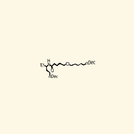 [CH2]CC(CCCCCCCCCCCC)NC(=O)CCCCOCCCCCCCCCCCCCCC